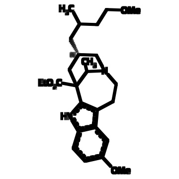 CCOC(=O)C12C[C@H](CC(C)CCOC)CN(CCc3c1[nH]c1ccc(OC)cc31)C2C